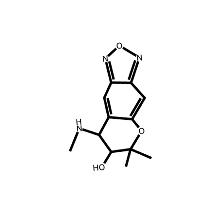 CNC1c2cc3nonc3cc2OC(C)(C)C1O